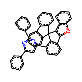 c1ccc(-c2cc(-c3cccc4c3C3(c5ccccc5-c5ccccc53)c3c-4oc4ccccc34)nc(-c3ccccc3)n2)cc1